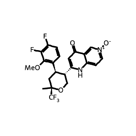 COc1c([C@@H]2C[C@](C)(C(F)(F)F)OC[C@H]2c2cc(=O)c3c[n+]([O-])ccc3[nH]2)ccc(F)c1F